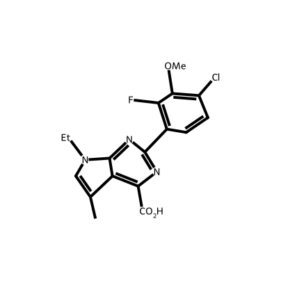 CCn1cc(C)c2c(C(=O)O)nc(-c3ccc(Cl)c(OC)c3F)nc21